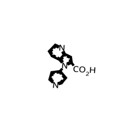 O=C(O)c1cc2ncccc2n1-c1ccncc1